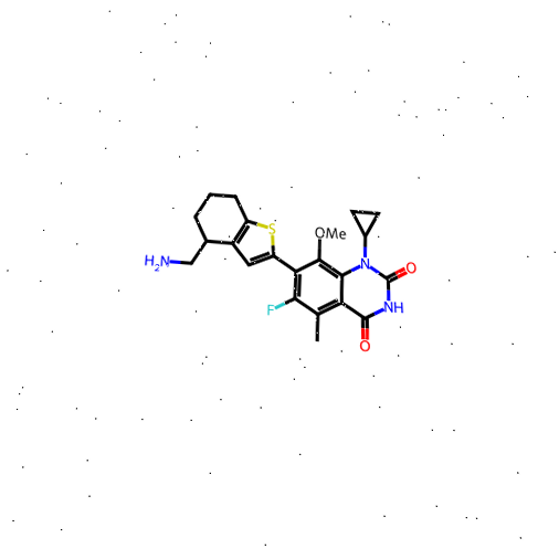 COc1c(-c2cc3c(s2)CCCC3CN)c(F)c(C)c2c(=O)[nH]c(=O)n(C3CC3)c12